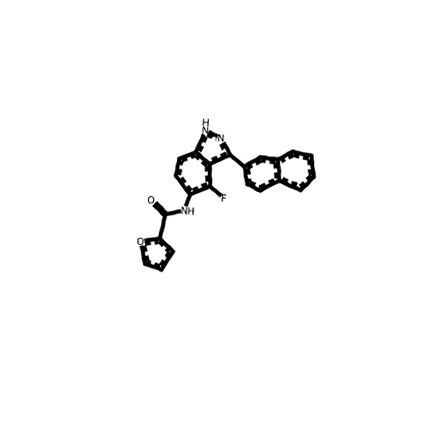 O=C(Nc1ccc2[nH]nc(-c3ccc4ccccc4c3)c2c1F)c1ccco1